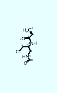 C=CC(=O)NC(CCl)CNC=O